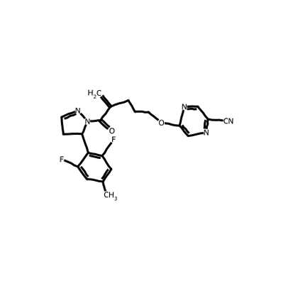 C=C(CCCOc1cnc(C#N)cn1)C(=O)N1N=CCC1c1c(F)cc(C)cc1F